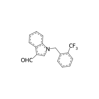 O=Cc1cn(Cc2ccccc2C(F)(F)F)c2ccccc12